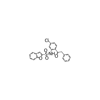 O=C(Cc1ccccc1)c1ccc(Cl)cc1NS(=O)(=O)c1cc2ccccc2o1